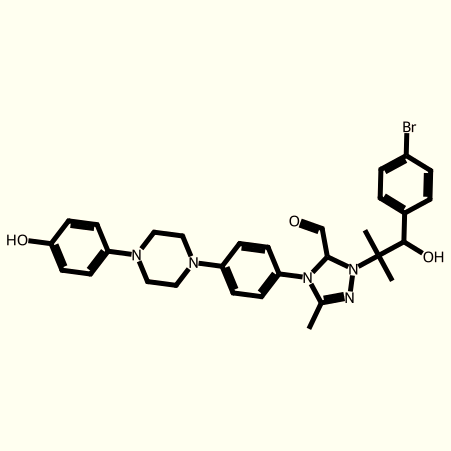 CC1=NN(C(C)(C)C(O)c2ccc(Br)cc2)C(C=O)N1c1ccc(N2CCN(c3ccc(O)cc3)CC2)cc1